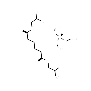 CCCCC(CC)COC(=O)CCCCC(=O)OCC(CC)CCCC.CCCCOP(=O)(OCCCC)OCCCC